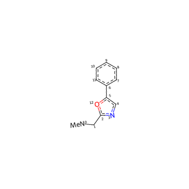 CNCc1ncc(-c2ccccc2)o1